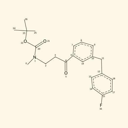 CN(CCC(=O)c1cccc(Cc2ccc(F)cc2)c1)C(=O)OC(C)(C)C